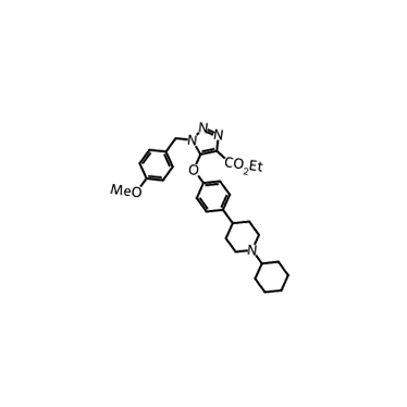 CCOC(=O)c1nnn(Cc2ccc(OC)cc2)c1Oc1ccc(C2CCN(C3CCCCC3)CC2)cc1